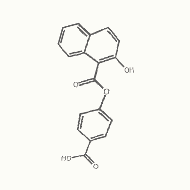 O=C(O)c1ccc(OC(=O)c2c(O)ccc3ccccc23)cc1